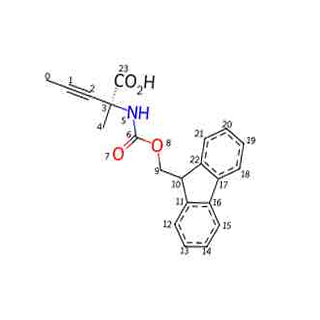 CC#C[C@](C)(NC(=O)OCC1c2ccccc2-c2ccccc21)C(=O)O